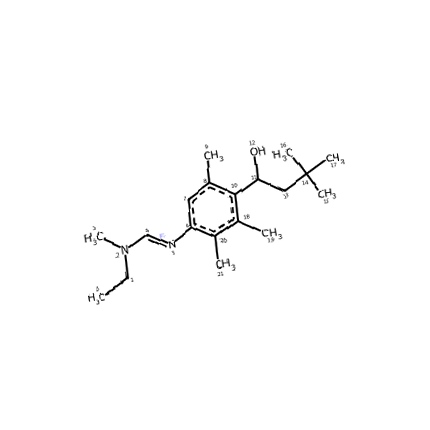 CCN(C)/C=N/c1cc(C)c(C(O)CC(C)(C)C)c(C)c1C